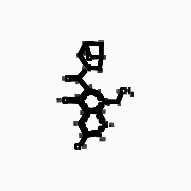 CCn1cc(C(=O)N2CC3CC(C2)O3)c(=O)c2cc(Cl)nnc21